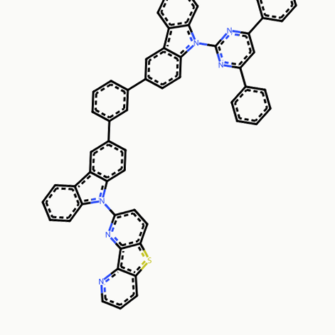 c1ccc(-c2cc(-c3ccccc3)nc(-n3c4ccccc4c4cc(-c5cccc(-c6ccc7c(c6)c6ccccc6n7-c6ccc7sc8cccnc8c7n6)c5)ccc43)n2)cc1